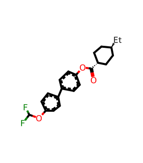 CC[C@H]1CC[C@H](C(=O)Oc2ccc(-c3ccc(OC(F)F)cc3)cc2)CC1